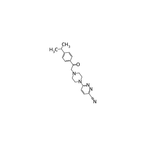 CC(C)c1ccc(C(=O)CN2CCN(c3ccc(C#N)nn3)CC2)cc1